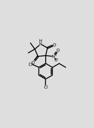 CCc1cc(Cl)cc(Cl)c1C1([N+](=O)[O-])C(=O)NC(C)(C)C1=O